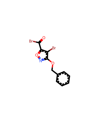 O=C(Br)c1onc(OCc2ccccc2)c1Br